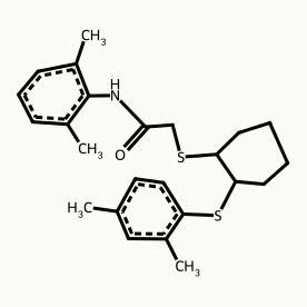 Cc1ccc(SC2CCCCC2SCC(=O)Nc2c(C)cccc2C)c(C)c1